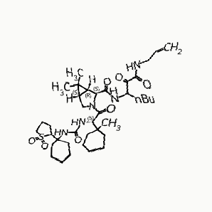 C=CCNC(=O)C(=O)C(CCCC)NC(=O)[C@@H]1[C@@H]2[C@H](CN1C(=O)[C@@H](NC(=O)NC1(C3CCCS3(=O)=O)CCCCC1)C1(C)CCCCC1)C2(C)C